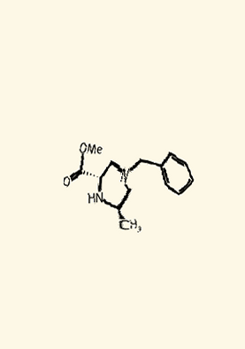 COC(=O)[C@@H]1CN(Cc2ccccc2)C[C@@H](C)N1